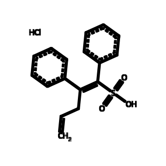 C=CCC(=C(c1ccccc1)S(=O)(=O)O)c1ccccc1.Cl